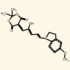 COc1ccc2c(c1)CCN2/C=C/C=C(\O)C=C1C(=O)OC(C)(C)OC1=O